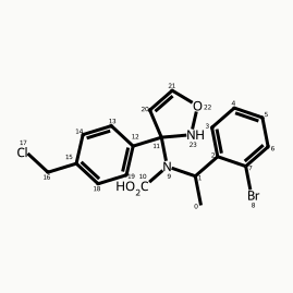 CC(c1ccccc1Br)N(C(=O)O)C1(c2ccc(CCl)cc2)C=CON1